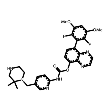 COc1cc(OC)c(F)c(-c2ccc(OC(=O)Nc3ccc(CN4CCNCC4(C)C)cn3)c3nccnc23)c1F